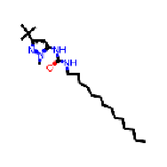 CCCCCCCCCCCCCCNC(=O)Nc1cc(C(C)(C)C)nn1C